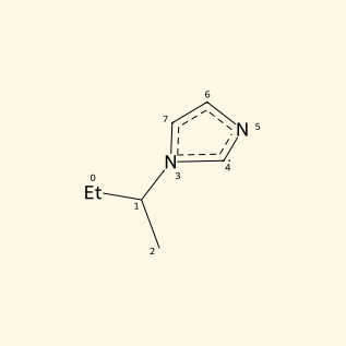 CCC(C)n1[c]ncc1